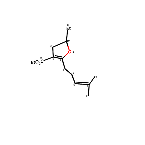 CCOC(=O)C1=C(CCC=C(C)C)OC(CC)C1